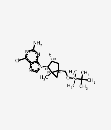 CC(C)(C)[Si](C)(C)OC[C@]12C[C@@H](F)[C@H](n3cnc4c(Cl)nc(N)nc43)[C@@]1(C)C2